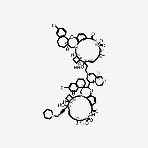 CO[C@]1(CCN2CC(C3Oc4ccc5cc4N(C[C@@H]4CC[C@H]4[C@@](O)(C#CCN4CCCCC4)/C=C/C[C@H](C)[C@@H](C)S(=O)(=O)NC5=O)C[C@@]34CCCc3cc(Cl)ccc34)N3CCOC[C@@H]3C2)/C=C/C[C@H](C)[C@@H](C)S(=O)(=O)NC(=O)c2ccc3c(c2)N(C[C@H]2CCCc4cc(Cl)ccc4C2O3)C[C@@H]2CC[C@H]21